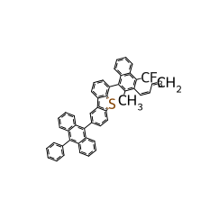 C=C/C=C\c1c(C)c(-c2cccc3c2sc2ccc(-c4c5ccccc5c(-c5ccccc5)c5ccccc45)cc23)c2ccccc2c1C(F)(F)F